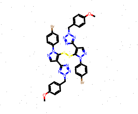 COc1ccc(Cn2nnc(-c3cnn(-c4ccc(Br)cc4)c3SSc3c(-c4nnn(Cc5ccc(OC)cc5)n4)cnn3-c3ccc(Br)cc3)n2)cc1